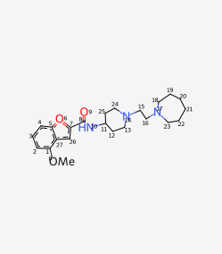 COc1cccc2oc(C(=O)NC3CCN(CCN4CCCCCC4)CC3)cc12